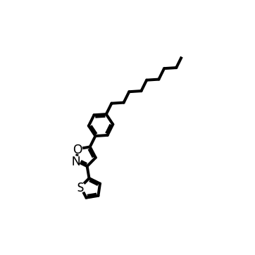 CCCCCCCCCc1ccc(-c2cc(-c3cccs3)no2)cc1